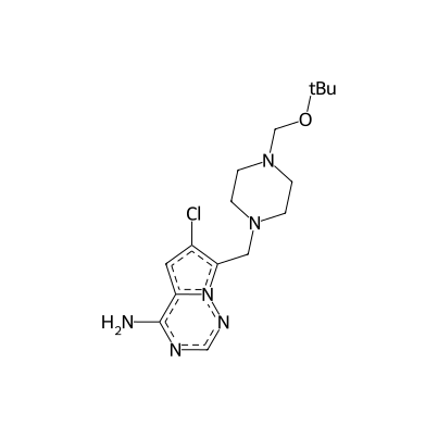 CC(C)(C)OCN1CCN(Cc2c(Cl)cc3c(N)ncnn23)CC1